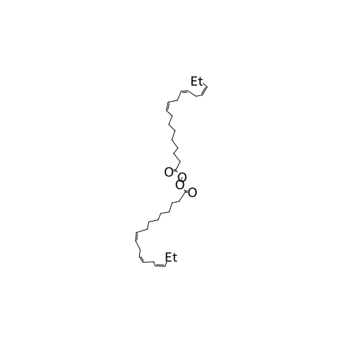 CC/C=C\C/C=C\C/C=C\CCCCCCCC(=O)OOC(=O)CCCCCCC/C=C\C/C=C\C/C=C\CC